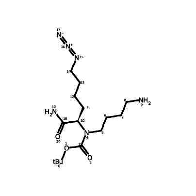 CC(C)(C)OC(=O)N(CCCCN)[C@H](CCCCN=[N+]=[N-])C(N)=O